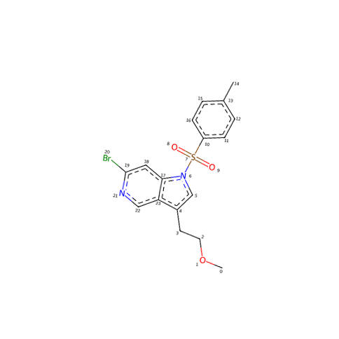 COCCc1cn(S(=O)(=O)c2ccc(C)cc2)c2cc(Br)ncc12